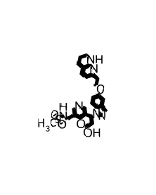 CS(=O)(=O)NCc1cncc(C(CC(=O)O)n2ncc3cc(OCCc4ccc5c(n4)NCCC5)ccc32)c1